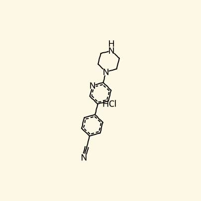 Cl.N#Cc1ccc(-c2ccc(N3CCNCC3)nc2)cc1